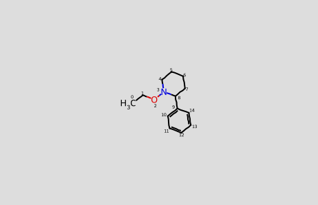 CCON1CCCCC1c1ccccc1